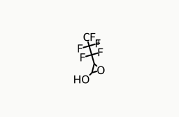 OC1OC1C(F)(F)C(F)(F)C(F)(F)F